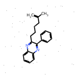 C=C(C)CCCCc1nc2ccccc2nc1-c1ccccc1